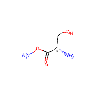 NOC(=O)[C@@H](N)CO